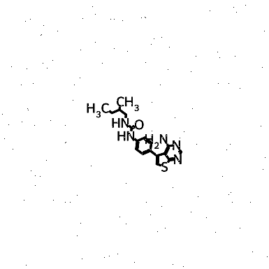 CCC(C)CNC(=O)Nc1ccc(-c2csc3ncnc(N)c23)cc1